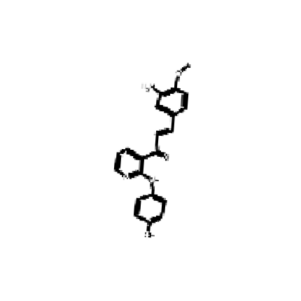 COc1ccc(C=CC(=O)c2cccnc2Nc2ccc(O)cc2)cc1N